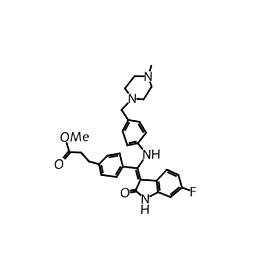 COC(=O)CCc1ccc(C(Nc2ccc(CN3CCN(C)CC3)cc2)=C2C(=O)Nc3cc(F)ccc32)cc1